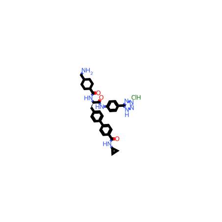 Cl.NCC1CCC(C(=O)N[C@@H](Cc2ccc(-c3ccc(C(=O)NC4CC4)cc3)cc2)C(=O)Nc2ccc(-c3nnn[nH]3)cc2)CC1